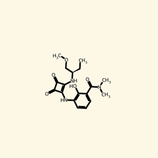 CC[C@H](COC)Nc1c(Nc2cccc(C(=O)N(C)C)c2O)c(=O)c1=O